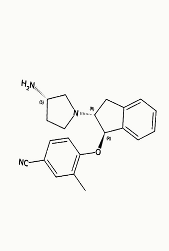 Cc1cc(C#N)ccc1O[C@@H]1c2ccccc2C[C@H]1N1CC[C@H](N)C1